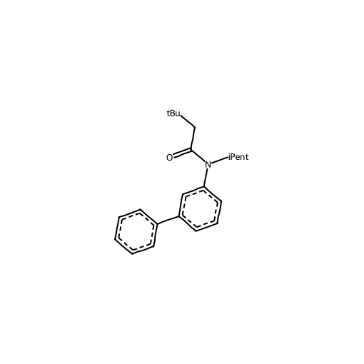 CCCC(C)N(C(=O)CC(C)(C)C)c1cccc(-c2ccccc2)c1